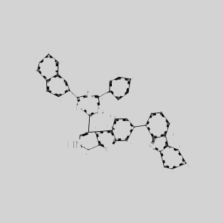 C1=C(c2nc(-c3ccccc3)nc(-c3ccc4ccccc4c3)n2)c2c(oc3cc(-c4cccc5c4sc4ccccc45)ccc23)CN1